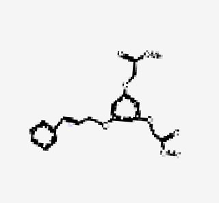 COC(=O)COc1cc(OC/C=C/c2ccccc2)cc(OCC(=O)OC)c1